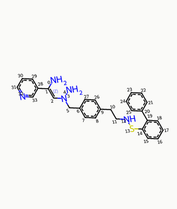 N/C(=C\N(N)Cc1ccc(CCNSc2ccccc2-c2ccccc2)cc1)c1cccnc1